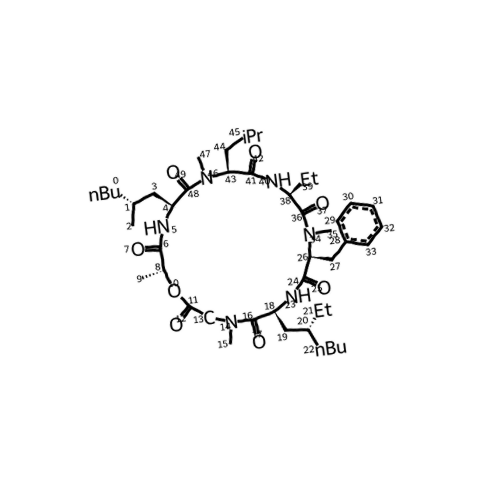 CCCC[C@@H](C)C[C@@H]1NC(=O)[C@@H](C)OC(=O)CN(C)C(=O)[C@H](C[C@H](CC)CCCC)NC(=O)[C@H](Cc2ccccc2)N(C)C(=O)[C@H](CC)NC(=O)[C@H](CC(C)C)N(C)C1=O